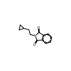 O=C1c2ccccc2C(=O)N1CCC1CC1